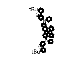 CC(C)(C)c1cccc2c1oc1ccc(N(c3ccccc3)c3ccc4c(c3)C3(c5ccccc5-c5ccccc53)c3cc5cc(N(c6ccccc6)c6ccc7oc8c(C(C)(C)C)cccc8c7c6)ccc5cc3-4)cc12